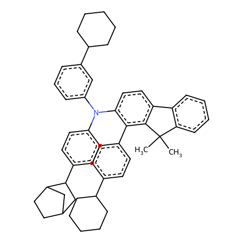 CC1(C)c2ccccc2-c2ccc(N(c3ccc(C4CC5CCC4C5)cc3)c3cccc(C4CCCCC4)c3)c(-c3ccc(C4CCCCC4)cc3)c21